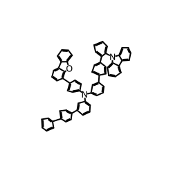 c1ccc(-c2ccc(-c3cccc(N(c4ccc(-c5cccc6c5oc5ccccc56)cc4)c4cccc(-c5ccc(-c6ccccc6-n6c7ccccc7c7ccccc76)cc5)c4)c3)cc2)cc1